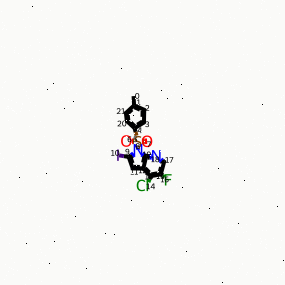 Cc1ccc(S(=O)(=O)n2c(I)cc3c(Cl)c(F)cnc32)cc1